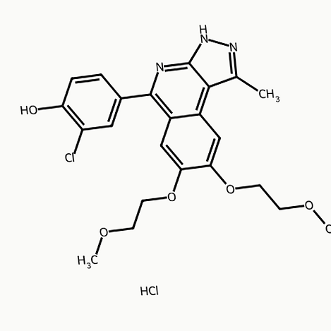 COCCOc1cc2c(-c3ccc(O)c(Cl)c3)nc3[nH]nc(C)c3c2cc1OCCOC.Cl